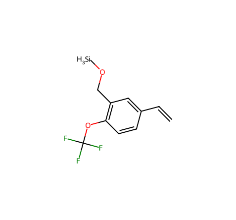 C=Cc1ccc(OC(F)(F)F)c(CO[SiH3])c1